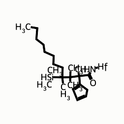 CCCCCCCCC(C)([SiH](C)C)C(C)(C)C(C)(C(=O)[NH][Hf])C1=CC=CC1